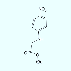 CC(C)(C)OC(=O)CNc1ccc([N+](=O)[O-])cc1